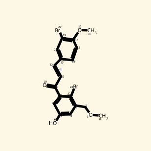 COCc1cc(O)cc(C(=O)/C=C/c2ccc(OC)c(Br)c2)c1Br